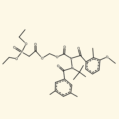 CCOP(=O)(CC(=O)OCOC(=O)N(C(=O)c1cccc(OC)c1C)N(C(=O)c1cc(C)cc(C)c1)C(C)(C)C)OCC